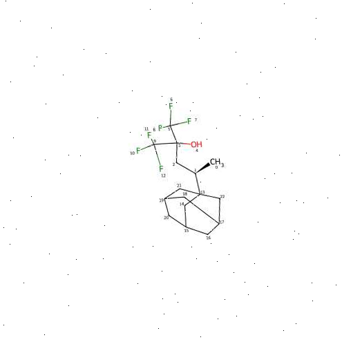 C[C@H](CC(O)(C(F)(F)F)C(F)(F)F)C12CC3CC(CC(C3)C1)C2